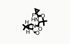 CC(C)(C)[C@H](NC(=O)C1(F)CC1)C(=O)N1C[C@H]2[C@@H]([C@H]1C=O)C2(C)C